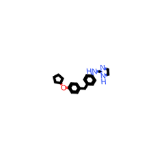 c1cc(NC2=NCCN2)ccc1Cc1ccc(OC2CCCC2)cc1